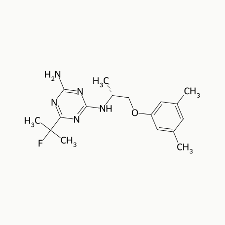 Cc1cc(C)cc(OC[C@@H](C)Nc2nc(N)nc(C(C)(C)F)n2)c1